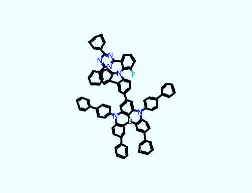 Fc1cccc(-c2nc(-c3ccccc3)nc(-c3ccccc3)n2)c1-n1c2ccccc2c2cc(-c3cc4c5c(c3)N(c3ccc(-c6ccccc6)cc3)c3ccc(-c6ccccc6)cc3B5c3cc(-c5ccccc5)ccc3N4c3ccc(-c4ccccc4)cc3)ccc21